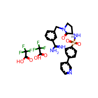 N=C(N)c1cccc(CN2CC[C@H](NS(=O)(=O)c3ccc(-c4cccnc4)cc3)C2=O)c1.O=C(O)C(F)(F)F.O=C(O)C(F)(F)F